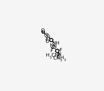 Cc1nc2c(F)cc(-c3nc(Nc4ccc5c(c4)OCC4CN(c6ccoc6)CCN54)ncc3F)cc2n1C(C)C